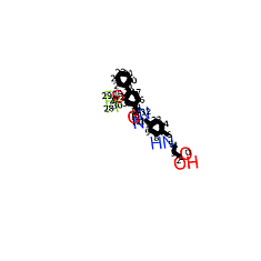 O=C(O)CCNCc1ccc(-c2noc(-c3ccc(-c4ccccc4)c(OC(F)(F)F)c3)n2)cc1